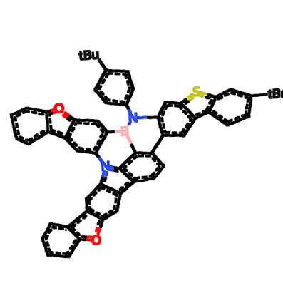 CC(C)(C)c1ccc(N2B3c4cc5oc6ccccc6c5cc4-n4c5cc6c(cc5c5ccc(c3c54)-c3cc4c(cc32)sc2cc(C(C)(C)C)ccc24)oc2ccccc26)cc1